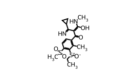 CC[S+]([O-])c1c(S(C)(=O)=O)ccc(C(=O)/C(C(=N)C2CC2)=C(\O)NC)c1C